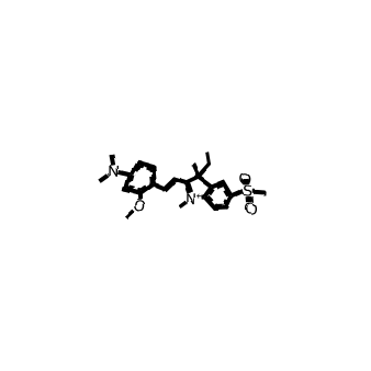 CCC1(C)C(/C=C/c2ccc(N(C)C)cc2OC)=[N+](C)c2ccc(S(C)(=O)=O)cc21